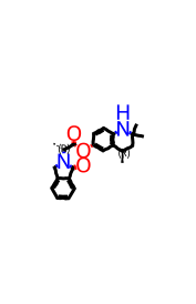 C[C@@H]1CC(C)(C)Nc2ccc(OC(=O)[C@@H](C)N3Cc4ccccc4C3=O)cc21